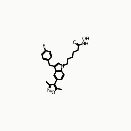 Cc1noc(C)c1-c1ccc2c(c1)c(Cc1ccc(F)cc1)cn2CCCCCC(=O)NO